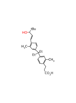 CCC(CC)(c1ccc(/C=C/C(O)C(C)(C)C)c(C)c1)c1ccc(CCC(=O)O)c(C)c1